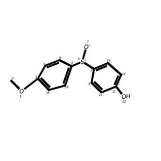 COc1ccc([S+]([O-])c2ccc(O)cc2)cc1